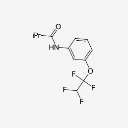 CC(C)C(=O)Nc1cccc(OC(F)(F)C(F)F)c1